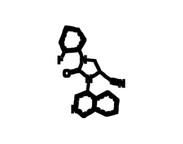 N#CC1CN(c2ccccc2F)C(=O)N1c1cncc2ccccc12